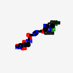 COc1cc(Nc2c(C#N)cnc3cc(OCCCN4CCN(CCC(=O)OCCNc5cccc6c5C(=O)N(C5CCC(=O)NC5=O)C6=O)CC4)c(OC)cc23)c(Cl)cc1Cl